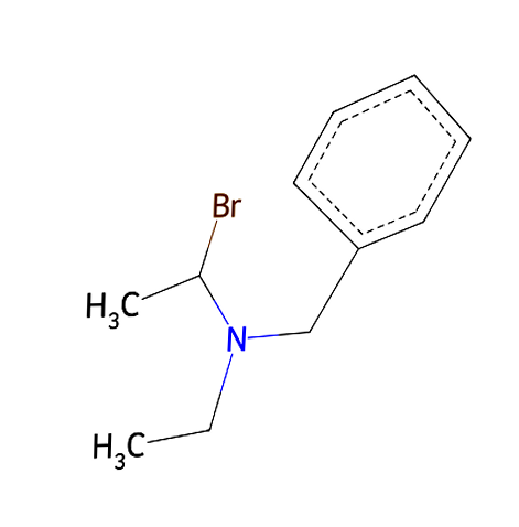 CCN(Cc1ccccc1)C(C)Br